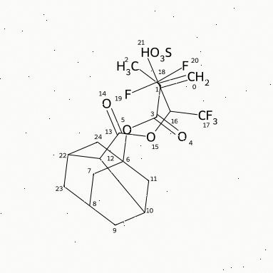 C=C(C)C(=O)OC12CC3CC(C1)C(C(=O)OC(C(F)(F)F)C(F)(F)S(=O)(=O)O)C(C3)C2